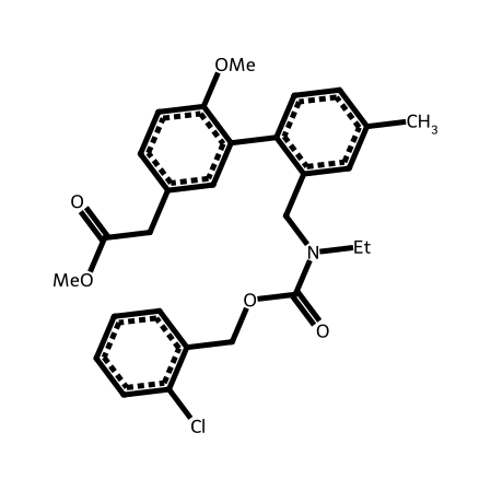 CCN(Cc1cc(C)ccc1-c1cc(CC(=O)OC)ccc1OC)C(=O)OCc1ccccc1Cl